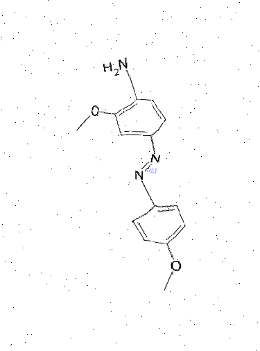 COc1ccc(/N=N/c2ccc(N)c(OC)c2)cc1